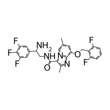 Cc1cc(OCc2c(F)cccc2F)c2nc(C)c(C(=O)NCC(N)c3cc(F)c(F)c(F)c3)n2c1